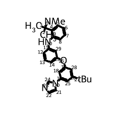 CNC(C)(C)c1ccccc1Nc1cccc(Oc2cc(-n3ccnc3)cc(C(C)(C)C)c2)c1